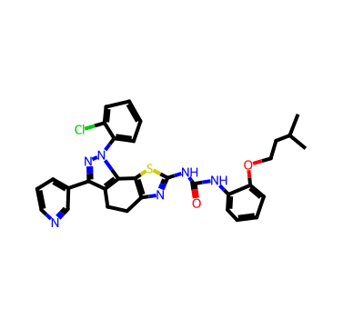 CC(C)CCOc1ccccc1NC(=O)Nc1nc2c(s1)-c1c(c(-c3cccnc3)nn1-c1ccccc1Cl)CC2